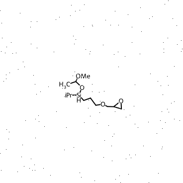 COC(C)O[SiH](CCCOCC1CO1)C(C)C